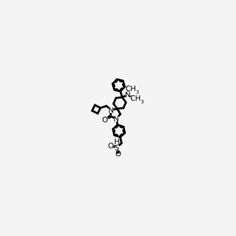 CN(C)C1(c2ccccc2)CCC2(CC1)CN(c1ccc(C[SH](=O)=O)cc1)C(=O)N2CC1CCC1